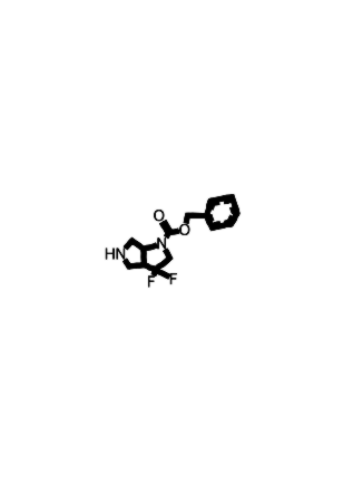 O=C(OCc1ccccc1)N1CC(F)(F)C2CNCC21